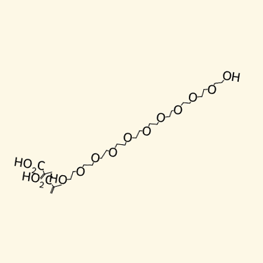 C=C(C)C(=O)O.C=C(C)C(=O)O.OCCOCCOCCOCCOCCOCCOCCOCCOCCOCCO